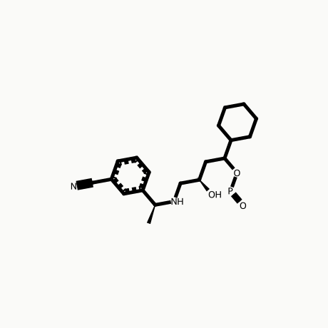 C[C@H](NC[C@H](O)CC(OP=O)C1CCCCC1)c1cccc(C#N)c1